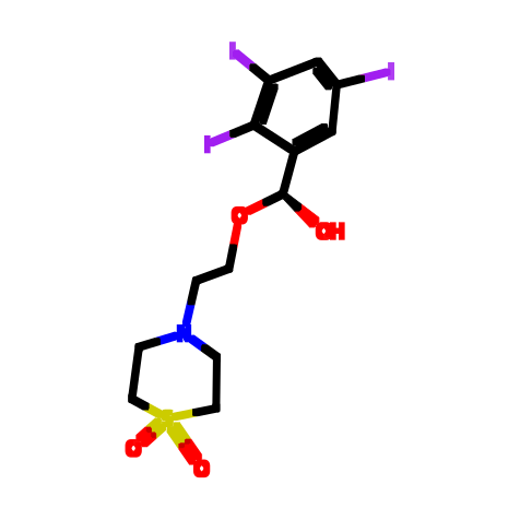 O=S1(=O)CCN(CCO[C@H](O)c2cc(I)cc(I)c2I)CC1